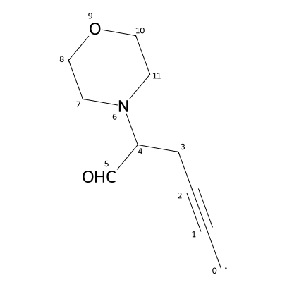 [CH2]C#CCC(C=O)N1CCOCC1